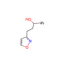 CC(C)C(O)CCc1ccon1